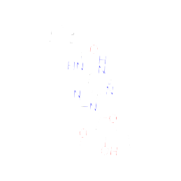 CC[C@H]1O[C@@H](n2cnc3c2N=CNC3NC(=O)c2ccccc2)[C@@H](OC)C1O